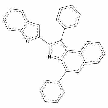 c1ccc(-c2c(-c3cc4ccccc4o3)nn3c(-c4ccccc4)cc4ccccc4c23)cc1